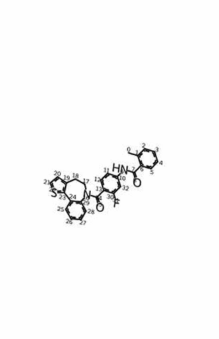 Cc1ccccc1C(=O)Nc1ccc(C(=O)N2CCc3ccsc3-c3ccccc32)c(F)c1